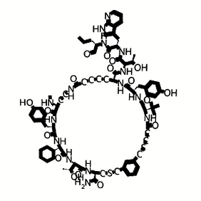 CCC[C@@H](C=O)NC(=O)[C@H](Cc1c[nH]c2ncccc12)NC(=O)[C@H](NC(=O)[C@@H]1CCCCC(=O)NCC[C@H](NC)C(=O)N[C@@H](Cc2ccc(O)cc2)C(=O)N[C@@H](C2CCCCC2)C(=O)N[C@@H]([C@@H](C)O)C(=O)N[C@H](C(N)=O)CSCc2cccc(c2)CSCCC(=O)N[C@@H](C(C)(C)C)C(=O)N[C@@H](Cc2ccc(O)cc2)C(=O)N1)[C@@H](C)O